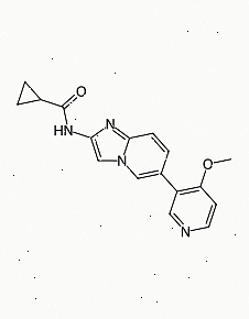 COc1ccncc1-c1ccc2nc(NC(=O)C3CC3)cn2c1